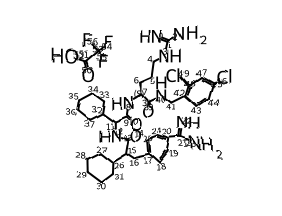 N=C(N)NCCC[C@H](NC(=O)C(NC(=O)C(Cc1ccc(C(=N)N)cc1)C1CCCCC1)C1CCCCC1)C(=O)NCc1ccc(Cl)cc1Cl.O=C(O)C(F)(F)F